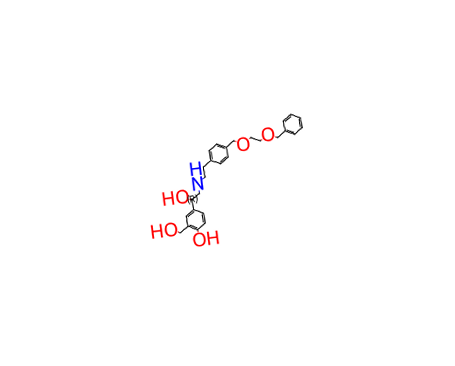 OCc1cc([C@@H](O)CNCCc2ccc(COCCOCc3ccccc3)cc2)ccc1O